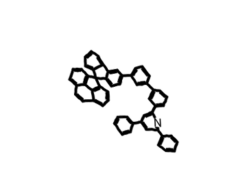 c1ccc(-c2cc(-c3ccccc3)nc(-c3cccc(-c4cccc(-c5ccc6c(c5)-c5ccccc5C65c6cccc7ccc8cccc5c8c67)c4)c3)c2)cc1